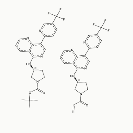 C=CC(=O)N1CC[C@H](Nc2ncc(-c3ccc(C(F)(F)F)cn3)c3ncccc23)C1.CC(C)(C)OC(=O)N1CC[C@H](Nc2ncc(-c3ccc(C(F)(F)F)cn3)c3ncccc23)C1